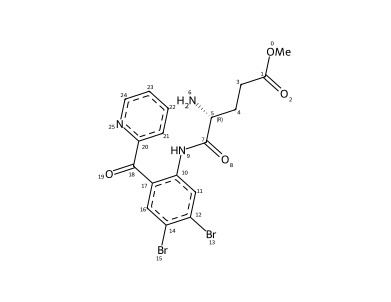 COC(=O)CC[C@@H](N)C(=O)Nc1cc(Br)c(Br)cc1C(=O)c1ccccn1